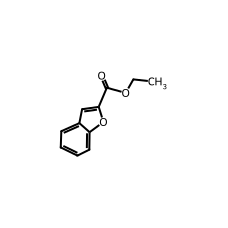 CCOC(=O)c1cc2ccccc2o1